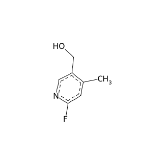 Cc1cc(F)ncc1CO